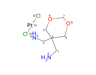 NCC1(CN)COCOC1.[Cl][Pt][Cl]